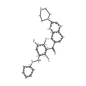 O=C(c1ccc2ncc(N3CCOCC3)nc2c1)c1c(F)c(F)cc(NSc2ccccc2)c1F